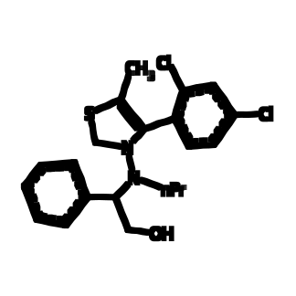 CCCN(C(CO)c1ccccc1)N1CSC(C)=C1c1ccc(Cl)cc1Cl